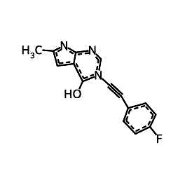 Cc1cc2c(O)n(C#Cc3ccc(F)cc3)cnc-2n1